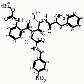 CC(C)C[C@H](NC(=O)[C@@H](N)Cc1ccccc1)C(=O)N(C(=O)c1ccccc1NC(=O)OC(C)(C)C)[C@@H](C)C(=O)NCc1ccc([N+](=O)[O-])cc1